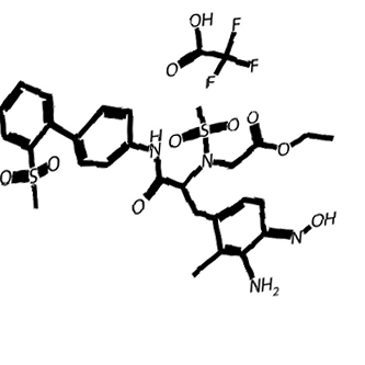 CCOC(=O)CN(C(CC1=CCC(=NO)C(N)=C1C)C(=O)Nc1ccc(-c2ccccc2S(C)(=O)=O)cc1)S(C)(=O)=O.O=C(O)C(F)(F)F